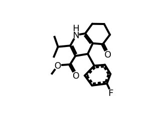 COC(=O)C1=C(C(C)C)NC2=C(C(=O)CCC2)C1c1ccc(F)cc1